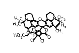 CC1=CC(C)(C)N2CCCc3c4c(cc1c32)C1(OC(=O)c2c(Cl)c(Cl)c(SCC(=O)O)c(Cl)c21)c1cc2c3c(c1O4)CCCN3C(C)(C)C=C2C